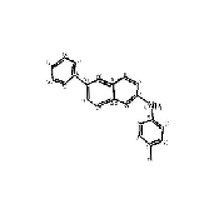 Cc1ccc(Nc2ccc3cc(-c4ccccc4)ccc3c2)cc1